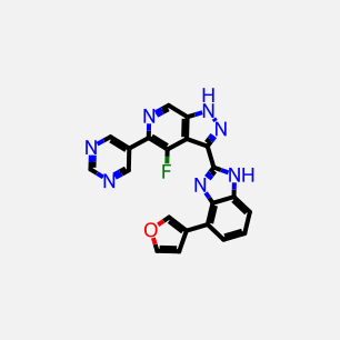 Fc1c(-c2cncnc2)ncc2[nH]nc(-c3nc4c(-c5ccoc5)cccc4[nH]3)c12